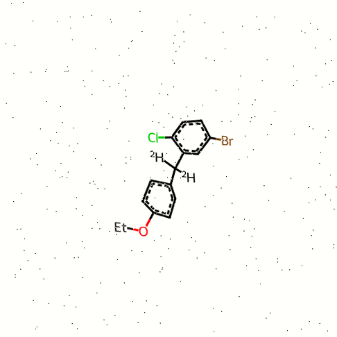 [2H]C([2H])(c1ccc(OCC)cc1)c1cc(Br)ccc1Cl